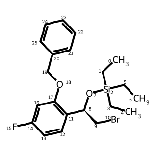 CC[Si](CC)(CC)O[C@@H](CBr)c1ccc(F)cc1OCc1ccccc1